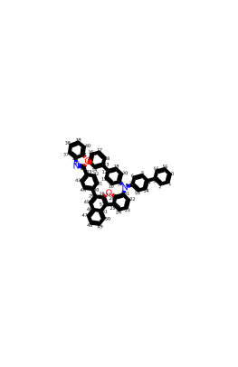 c1ccc(-c2ccc(N(c3ccc(-c4ccccc4)cc3)c3cccc4c3oc3c(-c5ccc(-c6nc7ccccc7o6)cc5)cc5ccccc5c34)cc2)cc1